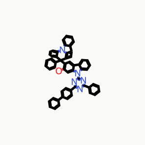 c1ccc(-c2ccc(-c3nc(-c4ccccc4)nc(-n4c5ccccc5c5cc6c(cc54)Oc4ccccc4C64c5ccccc5-n5c6ccccc6c6cccc4c65)n3)cc2)cc1